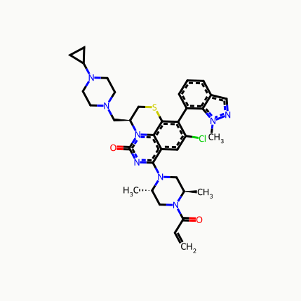 C=CC(=O)N1C[C@H](C)N(c2nc(=O)n3c4c(c(-c5cccc6cnn(C)c56)c(Cl)cc24)SC[C@@H]3CN2CCN(C3CC3)CC2)C[C@H]1C